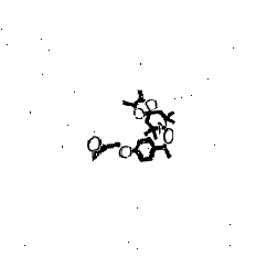 CC(ON1C(C)(C)CC2(CC1(C)C)OC(C)C(C)O2)c1ccc(OCC2CO2)cc1